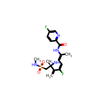 C=C(/C(F)=C\C=C(/C)NC(=O)c1ccc(F)cn1)[C@@](C)(N)CS(=O)(=O)NC